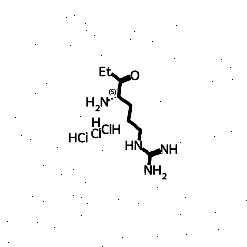 CCC(=O)[C@@H](N)CCCNC(=N)N.Cl.Cl.Cl